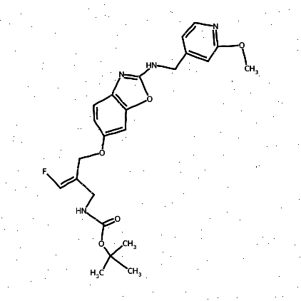 COc1cc(CNc2nc3ccc(OC/C(=C\F)CNC(=O)OC(C)(C)C)cc3o2)ccn1